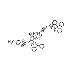 Cc1ccc(S(=O)(=O)O/C=C/C2=C(C(=O)OC(c3ccccc3)c3ccccc3)N3C(=O)C(NC(=O)/C=N/O/C=C/c4csc(NC(c5ccccc5)(c5ccccc5)c5ccccc5)n4)C3[S+]([O-])C2)cc1